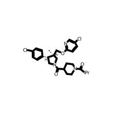 CC(C)C(=O)N1CCC(C(=O)N2C[C@H](c3ccc(Cl)cc3)[C@@](C)(COc3ccc(Cl)cn3)C2)CC1